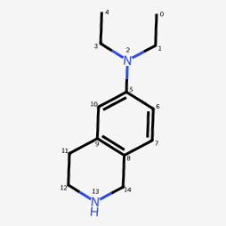 CCN(CC)c1ccc2c(c1)CCNC2